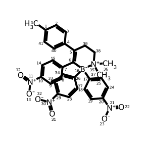 Cc1ccc(C2=C(c3ccc([N+](=O)[O-])cc3)[B-](c3ccc([N+](=O)[O-])cc3)(c3ccc([N+](=O)[O-])cc3)[N+](C)(C)CC2)cc1